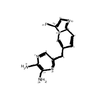 Nc1ncc(Cc2ccc3ncc(F)n3c2)nc1N